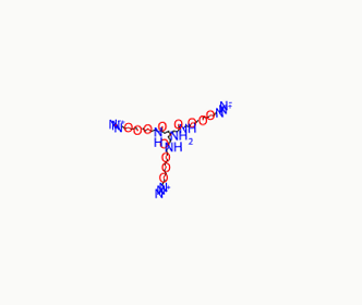 [N-]=[N+]=NCCOCCOCCOCCNC(=O)CCC(N)(CCC(=O)NCCOCCOCCOCCN=[N+]=[N-])CCC(=O)NCCOCCOCCOCCN=[N+]=[N-]